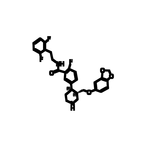 O=C(NCCc1c(F)cccc1F)c1cc([C@@H]2CCNC[C@H]2COc2ccc3c(c2)OCO3)ccc1F